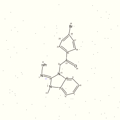 CCC/N=c1/n(C)c2ccccc2n1CC(=O)c1ccc(Br)cc1